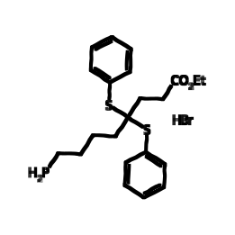 Br.CCOC(=O)CCC(CCCCP)(Sc1ccccc1)Sc1ccccc1